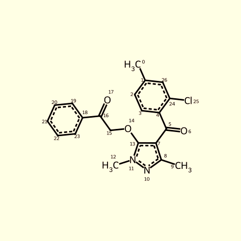 Cc1ccc(C(=O)c2c(C)nn(C)c2OCC(=O)c2ccccc2)c(Cl)c1